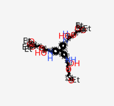 CCO[Si](C)(C)CCCOCC(O)CNc1ccc(C(c2ccc(NCC(O)COCCC[Si](C)(OCC)OCC)cc2)c2ccc(NCC(O)COCCC[Si](OCC)(OCC)OCC)cc2)cc1